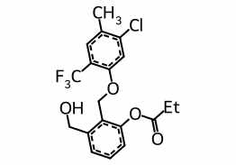 CCC(=O)Oc1cccc(CO)c1COc1cc(Cl)c(C)cc1C(F)(F)F